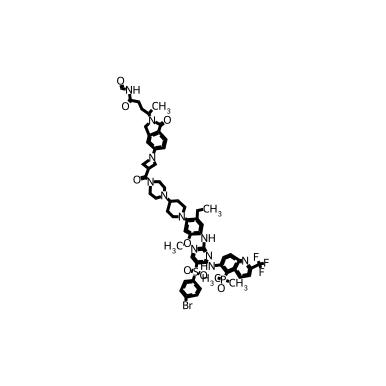 CCc1cc(Nc2ncc(S(=O)(=O)c3ccc(Br)cc3)c(Nc3ccc4nc(C(F)(F)F)ccc4c3P(C)(C)=O)n2)c(OC)cc1N1CCC(N2CCN(C(=O)C3CN(c4ccc5c(c4)CN(C(C)CCC(=O)NC=O)C5=O)C3)CC2)CC1